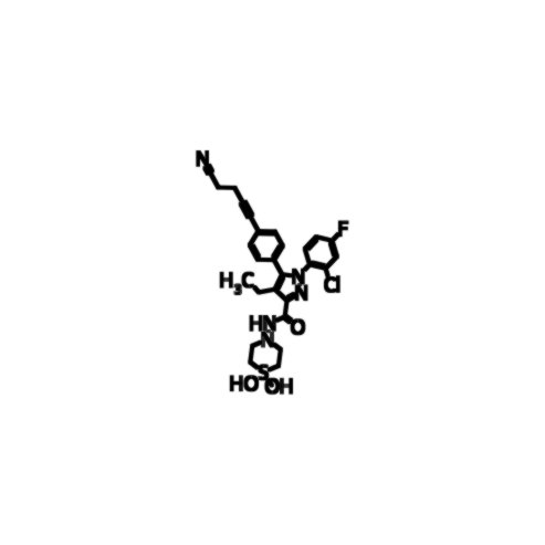 CCc1c(C(=O)NN2CCS(O)(O)CC2)nn(-c2ccc(F)cc2Cl)c1-c1ccc(C#CCCC#N)cc1